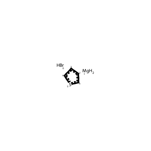 Br.[MgH2].c1ccsc1